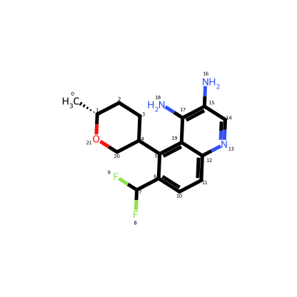 C[C@@H]1CCC(c2c(C(F)F)ccc3ncc(N)c(N)c23)CO1